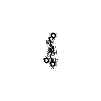 O=C(O[C@H]1C[N+]2(Cc3noc(Cc4ccccc4)n3)CCC1CC2)[C@H](Nc1ccccc1)c1ccccc1